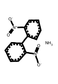 N.O=[N+]([O-])c1ccccc1-c1ccccc1[N+](=O)[O-]